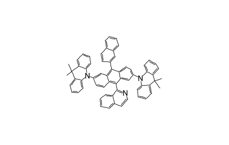 CC1(C)c2ccccc2N(c2ccc3c(-c4nccc5ccccc45)c4cc(N5c6ccccc6C(C)(C)c6ccccc65)ccc4c(-c4ccc5ccccc5c4)c3c2)c2ccccc21